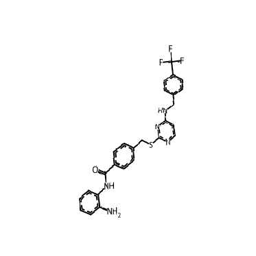 Nc1ccccc1NC(=O)c1ccc(CSc2nccc(NCc3ccc(C(F)(F)F)cc3)n2)cc1